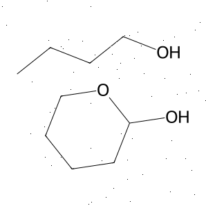 CCCCO.OC1CCCCO1